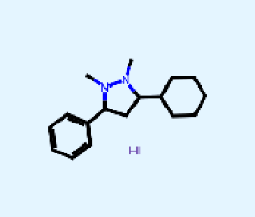 CN1C(c2ccccc2)CC(C2CCCCC2)N1C.I